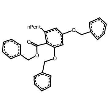 CCCCCc1cc(OCc2ccccc2)cc(OCc2ccccc2)c1C(=O)OCc1ccccc1